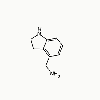 NCc1cccc2c1CCN2